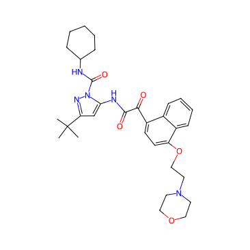 CC(C)(C)c1cc(NC(=O)C(=O)c2ccc(OCCN3CCOCC3)c3ccccc23)n(C(=O)NC2CCCCC2)n1